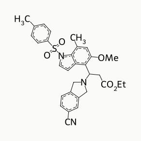 CCOC(=O)CC(c1c(OC)cc(C)c2c1ccn2S(=O)(=O)c1ccc(C)cc1)N1Cc2ccc(C#N)cc2C1